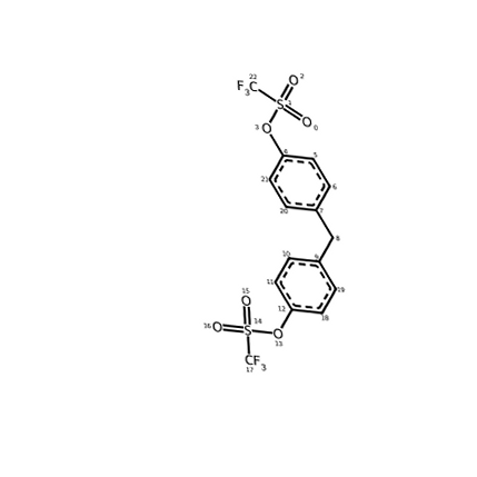 O=S(=O)(Oc1ccc(Cc2ccc(OS(=O)(=O)C(F)(F)F)cc2)cc1)C(F)(F)F